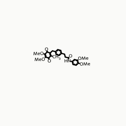 COC1=C(OC)C(=O)C(Cc2ccc(CCC(=O)Nc3ccc(OC)c(OC)c3)cc2)=C(C)C1=O